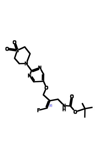 CC(C)(C)OC(=O)NC/C(=C/F)COc1cnc(N2CCS(=O)(=O)CC2)nc1